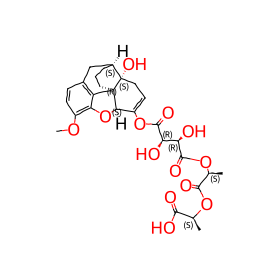 COc1ccc2c3c1O[C@@H]1C(OC(=O)[C@H](O)[C@@H](O)C(=O)O[C@@H](C)C(=O)O[C@@H](C)C(=O)O)=CC[C@]4(O)[C@@H](CCC[C@@]314)C2